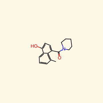 Cc1cccc2c(O)ccc(C(=O)N3CCCCC3)c12